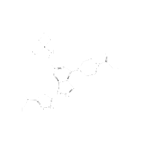 CC(C)C(=O)N1CCN(c2cc(SNC3(C#N)COC3)cc3c2cnn3-c2nnc(C(F)F)s2)CC1